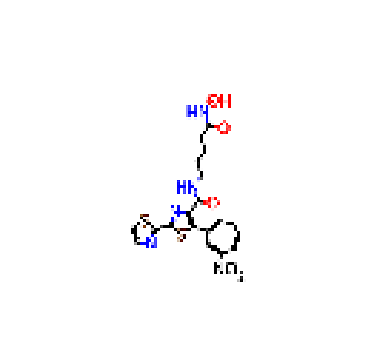 O=C(CCCCNC(=O)c1nc(-c2nccs2)sc1C1=CCC=CC([N+](=O)[O-])=C1)NO